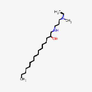 C=CN(C)CCCNCC(O)CCCCCCCCCCCCCC